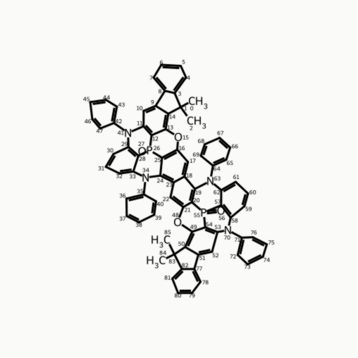 CC1(C)c2ccccc2-c2cc3c4c(c21)Oc1cc2c5c6c(cc2c2c1P4(=O)c1c(cccc1N2c1ccccc1)N3c1ccccc1)Oc1c2c(cc3c1P6(=O)c1c(cccc1N5c1ccccc1)N3c1ccccc1)-c1ccccc1C2(C)C